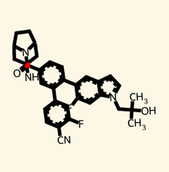 CC(C)(O)Cn1ccc2cc(-c3ccc(C(=O)N4C5CCC4CC(N)C5)cc3-c3ccc(C#N)c(F)c3)c(F)cc21